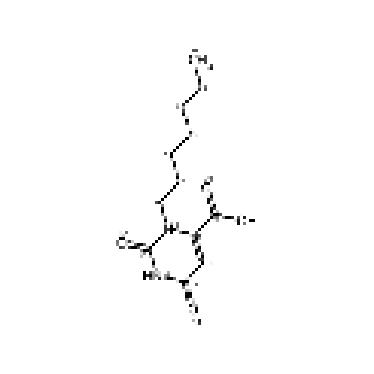 CCCCCCCn1c(C(=O)O)cc(=O)[nH]c1=O